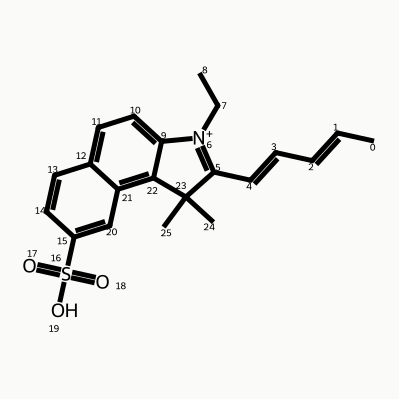 C/C=C/C=C/C1=[N+](CC)c2ccc3ccc(S(=O)(=O)O)cc3c2C1(C)C